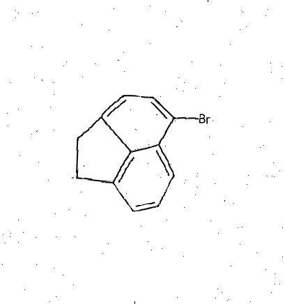 Brc1ccc2c3c(cccc13)[CH]C2